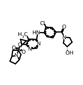 Cc1c(Nc2ccc(C(=O)N3CC[C@H](O)C3)cc2Cl)ncnc1OC1CC2CCC(C1)N2S(=O)(=O)C1CC1